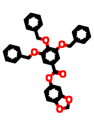 O=C(Oc1ccc2c(c1)OCO2)c1cc(OCc2ccccc2)c(OCc2ccccc2)c(OCc2ccccc2)c1